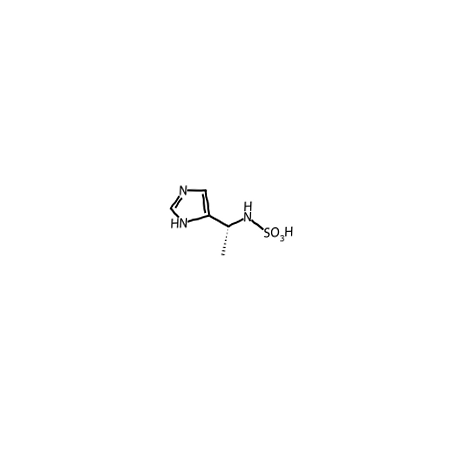 C[C@@H](NS(=O)(=O)O)c1cnc[nH]1